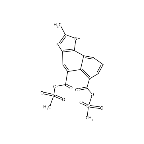 Cc1nc2cc(C(=O)OS(C)(=O)=O)c3c(C(=O)OS(C)(=O)=O)cccc3c2[nH]1